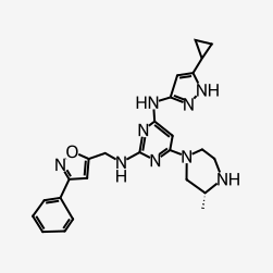 C[C@@H]1CN(c2cc(Nc3cc(C4CC4)[nH]n3)nc(NCc3cc(-c4ccccc4)no3)n2)CCN1